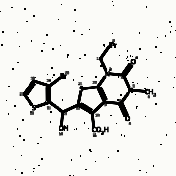 CC(C)Cn1c(=O)n(C)c(=O)c2c(C(=O)O)c(C(O)c3sccc3Br)sc21